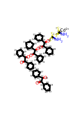 NC(=S)[S-].NC(=S)[S-].O=C(C(=O)c1ccccc1)c1ccccc1.O=C(C(=O)c1ccccc1)c1ccccc1.O=C(C(=O)c1ccccc1)c1ccccc1.O=C(C(=O)c1ccccc1)c1ccccc1.[Cd+2]